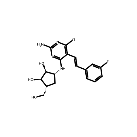 Nc1nc(Cl)c(/C=C/c2cccc(F)c2)c(N[C@@H]2C[C@H](CO)[C@@H](O)[C@H]2O)n1